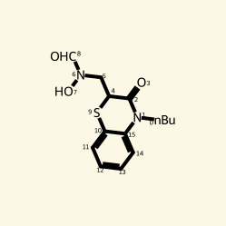 CCCCN1C(=O)C(CN(O)C=O)Sc2ccccc21